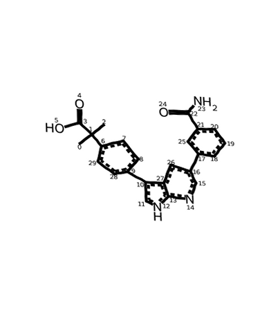 CC(C)(C(=O)O)c1ccc(-c2c[nH]c3ncc(-c4cccc(C(N)=O)c4)cc23)cc1